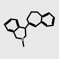 CN1Cc2ccccc2C(C2=Cc3ccccc3CCC2)C1